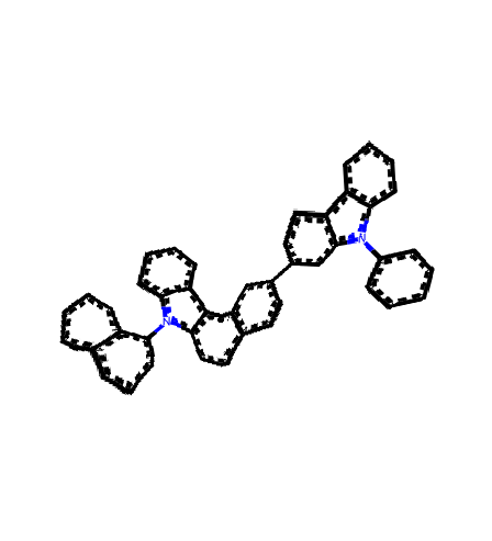 c1ccc(-n2c3ccccc3c3ccc(-c4ccc5ccc6c(c5c4)c4ccccc4n6-c4cccc5ccccc45)cc32)cc1